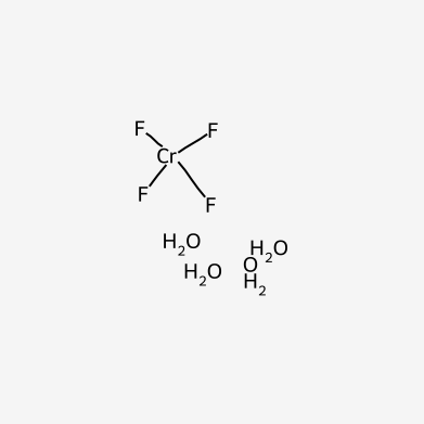 O.O.O.O.[F][Cr]([F])([F])[F]